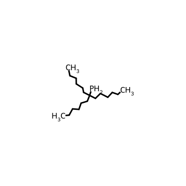 CCCCCCC(P)(CCCCCC)CCCCCC